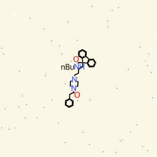 CCCCNC(=O)C1(CCCCN2CCN(C(=O)Cc3ccccc3)CC2)c2ccccc2-c2ccccc21